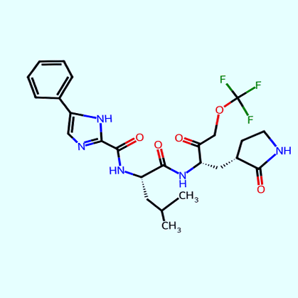 CC(C)C[C@H](NC(=O)c1ncc(-c2ccccc2)[nH]1)C(=O)N[C@@H](C[C@@H]1CCNC1=O)C(=O)COC(F)(F)F